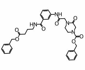 O=C(CN1CCN(C(=O)OCc2ccccc2)CC1=O)Nc1cccc(C(=O)NCCCC(=O)OCc2ccccc2)c1